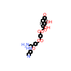 C[C@]12C=CC(=O)C=C1CC[C@@H]1[C@@H]2[C@@H](O)C[C@@]2(C)[C@H]1CC[C@]2(O)C(=O)COC(=O)c1ccc(C(=O)OCc2ccc(C(CCN)C(=O)Nc3ccc4cnccc4c3)cc2)cc1